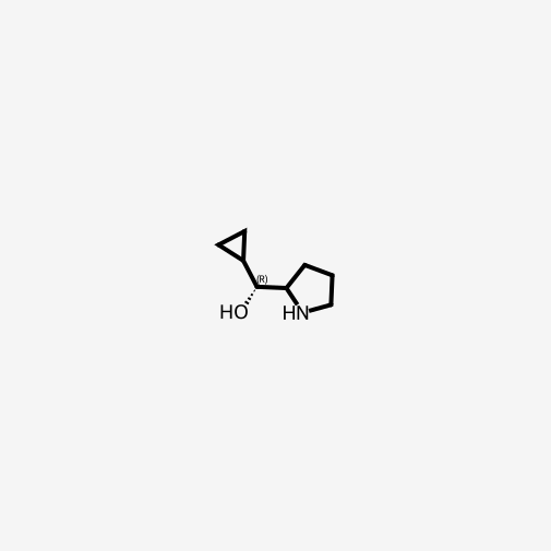 O[C@H](C1CC1)C1CCCN1